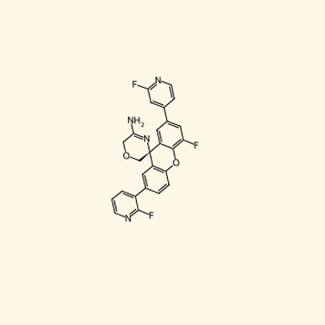 NC1=N[C@@]2(COC1)c1cc(-c3cccnc3F)ccc1Oc1c(F)cc(-c3ccnc(F)c3)cc12